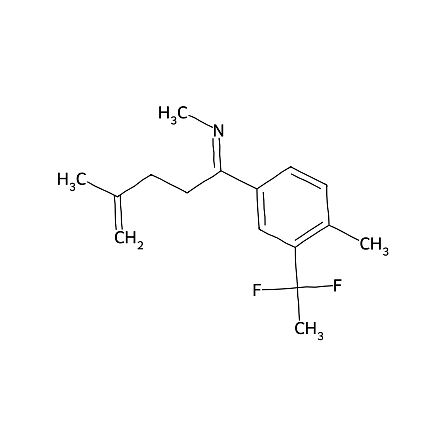 C=C(C)CC/C(=N\C)c1ccc(C)c(C(C)(F)F)c1